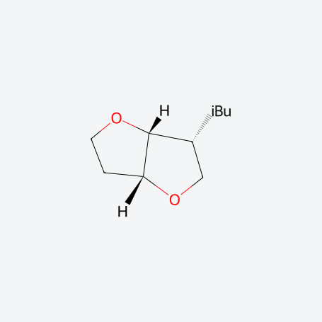 CCC(C)[C@@H]1CO[C@@H]2CCO[C@@H]21